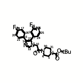 CC(C)(C)OC(=O)N1CCN(C(=O)Cn2cnc(-c3ccc(F)cc3)c2-c2ccnc(F)c2)CC1